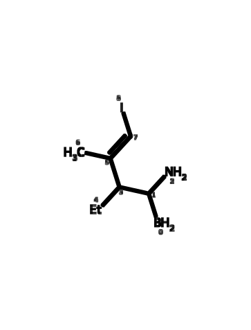 BC(N)C(CC)/C(C)=C/I